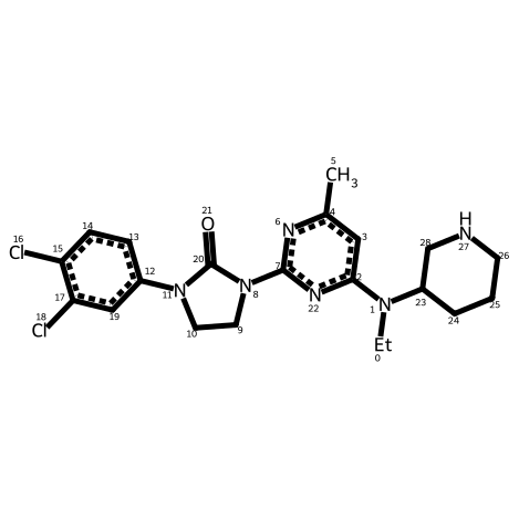 CCN(c1cc(C)nc(N2CCN(c3ccc(Cl)c(Cl)c3)C2=O)n1)C1CCCNC1